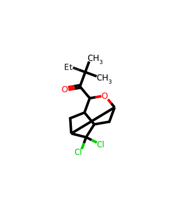 [CH2]CC(C)(C)C(=O)[C]1OC2CC3C1CC2C3(Cl)Cl